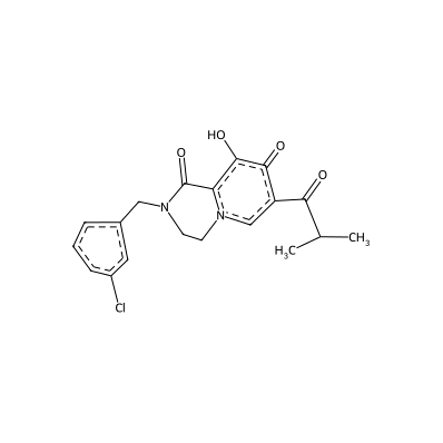 CC(C)C(=O)c1cn2c(c(O)c1=O)C(=O)N(Cc1cccc(Cl)c1)CC2